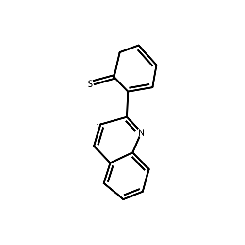 S=C1CC=CC=C1c1[c]cc2ccccc2n1